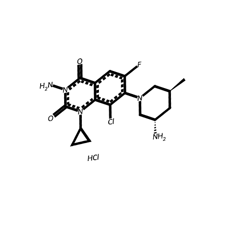 C[C@H]1C[C@H](N)CN(c2c(F)cc3c(=O)n(N)c(=O)n(C4CC4)c3c2Cl)C1.Cl